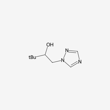 CC(C)(C)C(O)Cn1cncn1